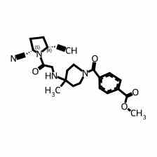 C#C[C@H]1CC[C@@H](C#N)N1C(=O)CNC1(C)CCN(C(=O)c2ccc(C(=O)OC)cc2)CC1